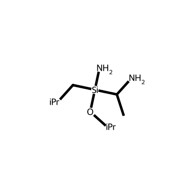 CC(C)C[Si](N)(OC(C)C)C(C)N